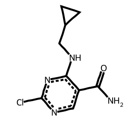 NC(=O)c1cnc(Cl)nc1NCC1CC1